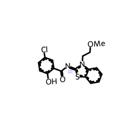 COCCn1/c(=N/C(=O)c2cc(Cl)ccc2O)sc2ccccc21